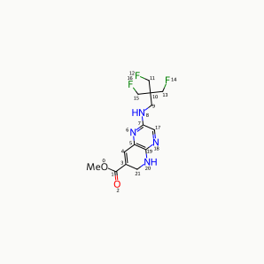 COC(=O)C1=Cc2nc(NCC(CF)(CF)CF)cnc2NC1